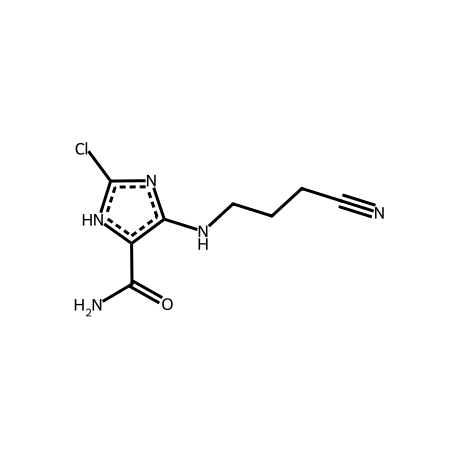 N#CCCCNc1nc(Cl)[nH]c1C(N)=O